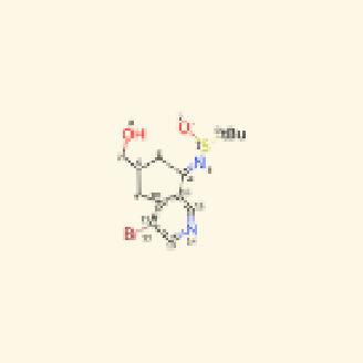 CC(C)(C)[S+]([O-])/N=C1\CC(CO)Cc2c(Br)cncc21